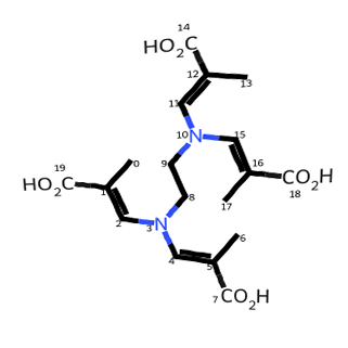 CC(=CN(C=C(C)C(=O)O)CCN(C=C(C)C(=O)O)C=C(C)C(=O)O)C(=O)O